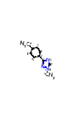 Cc1ccc(-c2n[c]n(C)n2)cc1